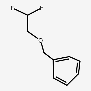 FC(F)COCc1ccccc1